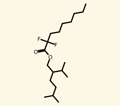 CCCCCCCC(F)(F)C(=O)OCC(CCC(C)C)C(C)C